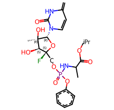 C=C1C=CN([C@@H]2O[C@](F)(COP(=O)(NC(C)C(=O)OC(C)C)Oc3ccccc3)[C@@H](O)[C@@]2(C)O)C(=O)N1